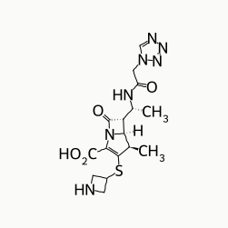 C[C@@H](NC(=O)Cn1cnnn1)[C@H]1C(=O)N2C(C(=O)O)=C(SC3CNC3)[C@H](C)[C@H]12